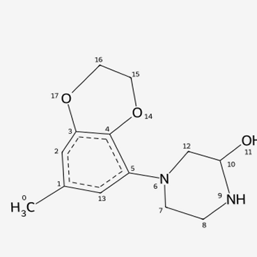 Cc1cc2c(c(N3CCNC(O)C3)c1)OCCO2